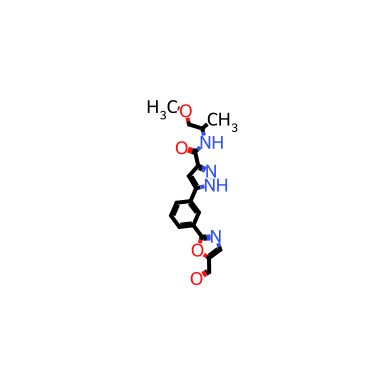 COCC(C)NC(=O)c1cc(-c2cccc(-c3ncc(C=O)o3)c2)[nH]n1